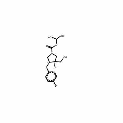 CCCC(OC(=O)N1C[C@H](Sc2ccc(Cl)cn2)C(O)(CO)C1)C(C)(C)C